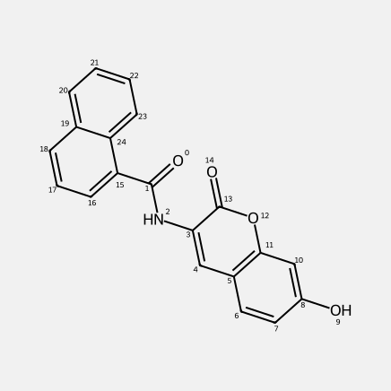 O=C(Nc1cc2ccc(O)cc2oc1=O)c1cccc2ccccc12